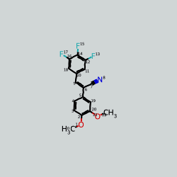 COc1ccc(/C(C#N)=C/c2cc(F)c(F)c(F)c2)cc1OC